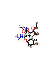 CCOC(=O)C1=C(N)Oc2ccc(Br)cc2C1(CC)C(C#N)C(=O)OCC